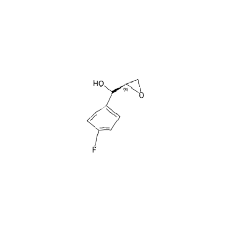 OC(c1ccc(F)cc1)[C@H]1CO1